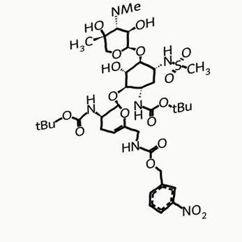 CN[C@@H]1[C@@H](O)[C@@H](O[C@@H]2[C@@H](O)[C@H](O[C@H]3OC(CNC(=O)OCc4cccc([N+](=O)[O-])c4)=CC[C@H]3NC(=O)OC(C)(C)C)[C@@H](NC(=O)OC(C)(C)C)C[C@H]2NS(C)(=O)=O)OC[C@]1(C)O